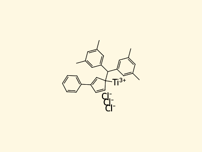 Cc1cc(C)cc(C(c2cc(C)cc(C)c2)[C]2([Ti+3])C=CC(c3ccccc3)=C2)c1.[Cl-].[Cl-].[Cl-]